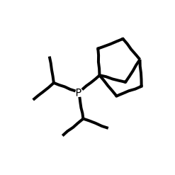 CC(C)P(C(C)C)C12CCC(CC1)C2